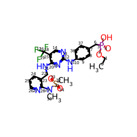 CCOP(=O)(O)Cc1ccc(Nc2ncc(C(F)(F)F)c(NCc3cccnc3N(C)S(C)(=O)=O)n2)cc1